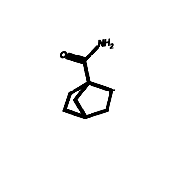 NC(=O)C12[CH]CC(CC1)C2